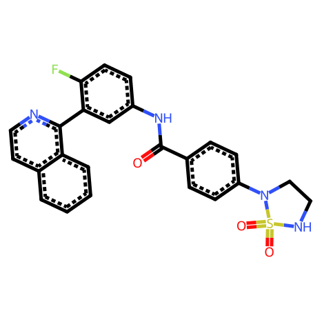 O=C(Nc1ccc(F)c(-c2nccc3ccccc23)c1)c1ccc(N2CCNS2(=O)=O)cc1